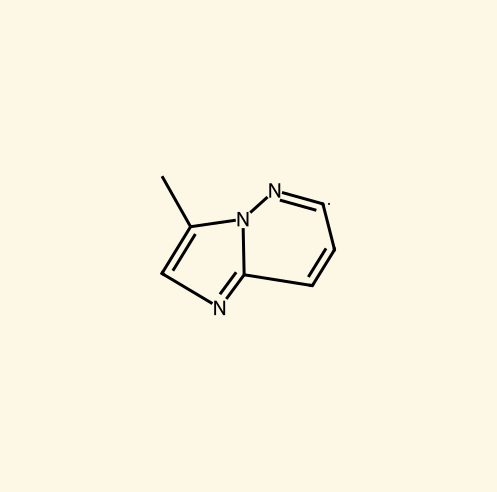 Cc1cnc2cc[c]nn12